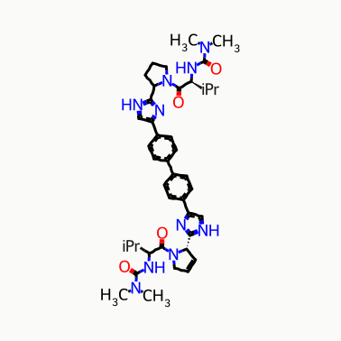 CC(C)C(NC(=O)N(C)C)C(=O)N1CC=C[C@H]1c1nc(-c2ccc(-c3ccc(-c4c[nH]c(C5CCCN5C(=O)[C@@H](NC(=O)N(C)C)C(C)C)n4)cc3)cc2)c[nH]1